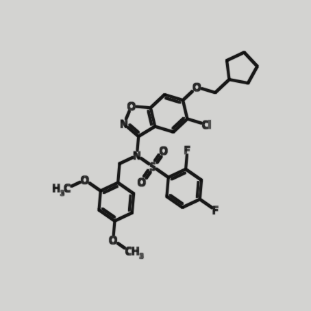 COc1ccc(CN(c2noc3cc(OCC4CCCC4)c(Cl)cc23)S(=O)(=O)c2ccc(F)cc2F)c(OC)c1